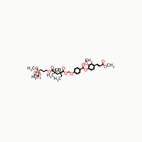 CCC(C)(CC(C)(C)C(=O)OCCC[Si](OC)(OC)OC)C(=O)OCOc1ccc(C(=O)Oc2ccc(/C=C/C(=O)OC)cc2OC)cc1